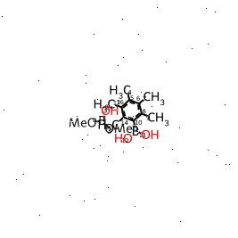 COB(O)OC.Cc1c(C)c(C)c(B(O)O)c(C)c1C